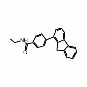 CCNC(=O)c1ccc(-c2cccc3c2Cc2ccccc2-3)cc1